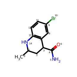 CC1CC(C(N)=O)c2cc(Br)ccc2N1